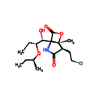 CC[C@H](C)O[C@H](CC)[C@H](O)[C@@]12NC(=O)[C@H](CCCl)[C@]1(C)OC2=O